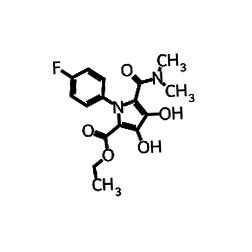 CCOC(=O)c1c(O)c(O)c(C(=O)N(C)C)n1-c1ccc(F)cc1